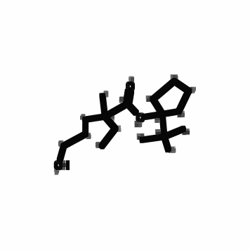 CCC(C)(CCCO)C(=O)OC1(C(C)(C)C)CCCC1